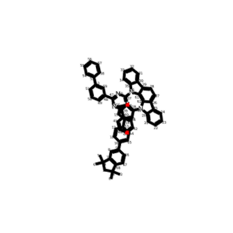 CC1(C)CC(C)(C)c2cc(-c3ccc(-c4cccc(-n5c6ccccc6c6ccc7c8ccccc8n(-c8nc(-c9ccccc9)nc(-c9cccc(-c%10ccccc%10)c9)n8)c7c65)c4)cc3)ccc21